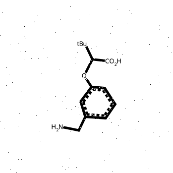 CC(C)(C)C(Oc1cccc(CN)c1)C(=O)O